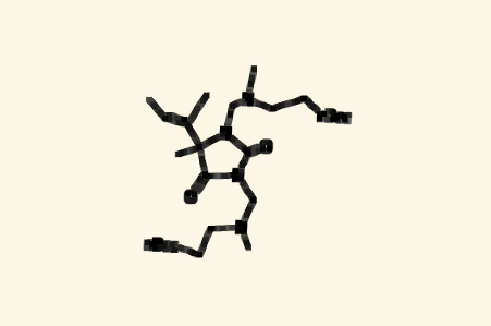 CC=C(C)C1(C)C(=O)N(CN(C)CCCCCCCCCCCC)C(=O)N1CN(C)CCCCCCCCCCCC